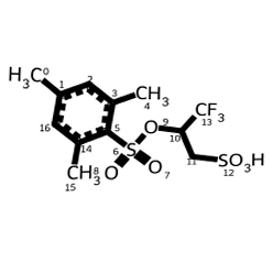 Cc1cc(C)c(S(=O)(=O)OC(CS(=O)(=O)O)C(F)(F)F)c(C)c1